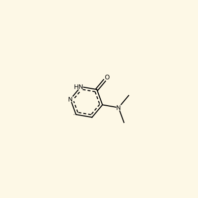 CN(C)c1c[c]n[nH]c1=O